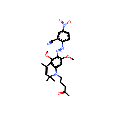 COc1cc2c(c(OC)c1/N=N/c1ccc([N+](=O)[O-])cc1C#N)C(C)=CC(C)(C)N2CCCC(C)=O